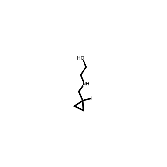 OCCNCC1(I)CC1